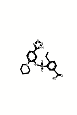 CCc1ccc(C(=O)O)cc1S(=O)(=O)Nc1cc(-c2nnn[nH]2)ccc1N1CCCCC1